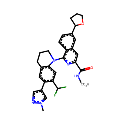 Cn1cc(-c2cc3c(cc2C(F)F)N(c2nc(C(=O)NC(=O)O)cc4cc(C5CCCO5)ccc24)CCC3)cn1